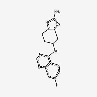 Nc1nc2c(s1)CC(Nc1ncnc3cc(F)ccc13)CC2